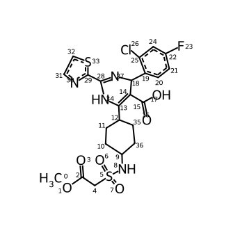 COC(=O)CS(=O)(=O)NC1CCC(C2=C(C(=O)O)C(c3ccc(F)cc3Cl)N=C(c3nccs3)N2)CC1